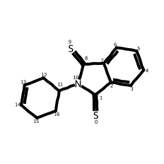 S=C1c2ccccc2C(=S)N1C1CC=CCC1